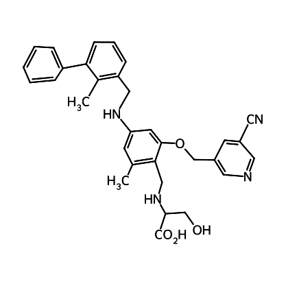 Cc1cc(NCc2cccc(-c3ccccc3)c2C)cc(OCc2cncc(C#N)c2)c1CNC(CO)C(=O)O